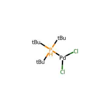 CC(C)(C)[PH]([Pd]([Cl])[Cl])(C(C)(C)C)C(C)(C)C